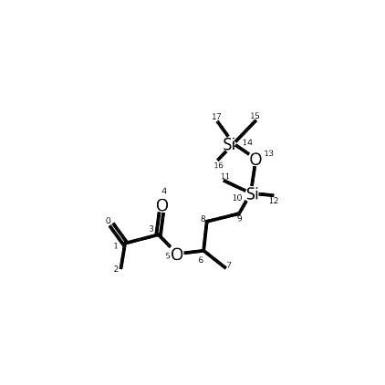 C=C(C)C(=O)OC(C)CC[Si](C)(C)O[Si](C)(C)C